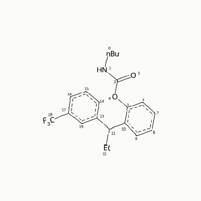 CCCCNC(=O)Oc1ccccc1[C](CC)c1cccc(C(F)(F)F)c1